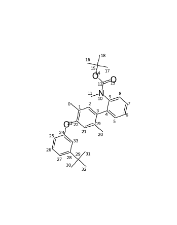 Cc1cc(-c2ccccc2N(C)C(=O)OC(C)(C)C)c(C)cc1Oc1cccc(C(C)(C)C)c1